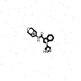 CN1C2COCC1CC(NC(=O)c1cn(-c3cn[nH]c3)c3ccccc13)C2